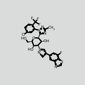 Cc1nc([C@@H]2O[C@H](CO)[C@H](O)[C@H](n3cc(-c4cc(F)c5scnc5c4)cn3)[C@H]2O)n(-c2cc(Cl)ccc2C(F)(F)F)n1